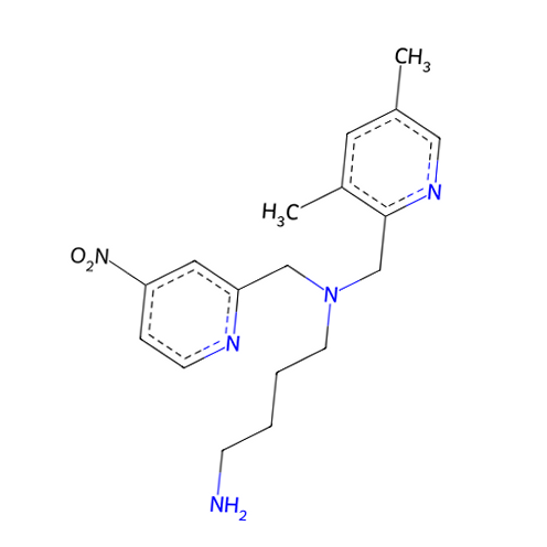 Cc1cnc(CN(CCCCN)Cc2cc([N+](=O)[O-])ccn2)c(C)c1